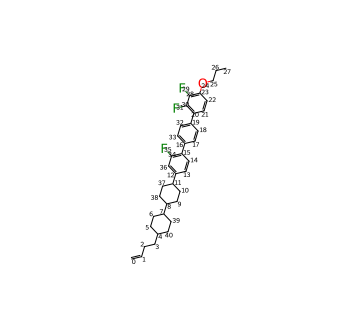 C=CCCC1CCC(C2CCC(c3ccc(-c4ccc(-c5ccc(OCCC)c(F)c5F)cc4)c(F)c3)CC2)CC1